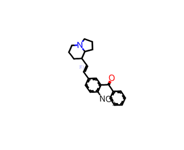 O=C(c1ccccc1)c1cc(/C=C/C2CCCN3CCCC23)ccc1[N+](=O)[O-]